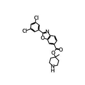 CC1(OC(=O)c2ccc3nc(-c4cc(Cl)cc(Cl)c4)oc3c2)CCNCC1